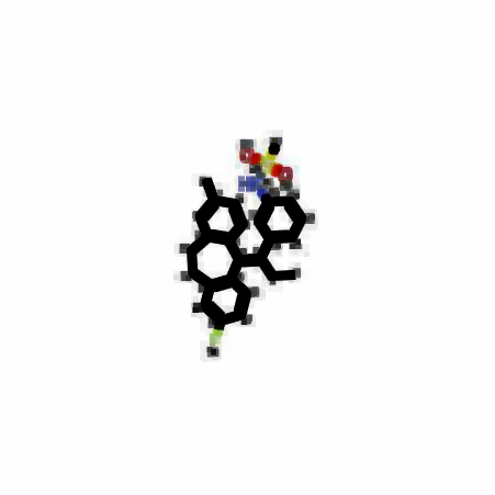 CCC(=C1c2ccc(C)cc2CCc2cc(F)ccc21)c1cccc(NS(C)(=O)=O)c1